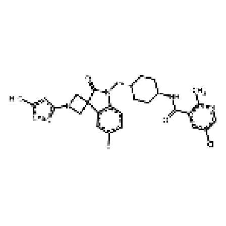 Cc1nnc(N2CC3(C2)C(=O)N(C[C@H]2CC[C@H](NC(=O)c4cc(Cl)cnc4C)CC2)c2ccc(F)cc23)s1